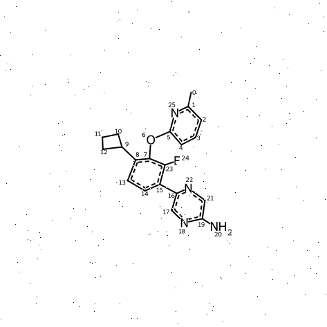 Cc1cccc(Oc2c(C3CCC3)ccc(-c3cnc(N)cn3)c2F)n1